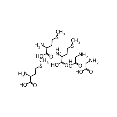 CSCCC(N)C(=O)O.CSCCC(N)C(=O)O.CSCCC(N)C(=O)O.NCC(=O)O.NCC(=O)O